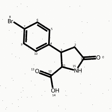 O=C1CC(c2ccc(Br)cc2)C(C(=O)O)N1